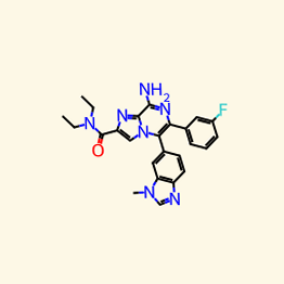 CCN(CC)C(=O)c1cn2c(-c3ccc4ncn(C)c4c3)c(-c3cccc(F)c3)nc(N)c2n1